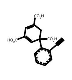 C#Cc1ccccc1C1(C(=O)O)C=C(C(=O)O)C=C(C(=O)O)C1